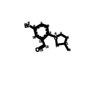 CC1CCN(c2ccc(Br)cc2C=O)C1